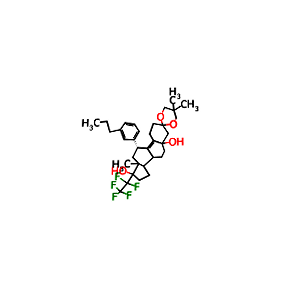 CCCc1cccc([C@H]2CC3(C)C(CCC3(O)C(F)(F)C(F)(F)F)C3CCC4(O)CC5(CCC4=C32)OCC(C)(C)CO5)c1